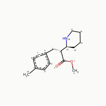 COC(=O)[C@H](Cc1ccc(C)cc1)[C@@H]1CCCCN1